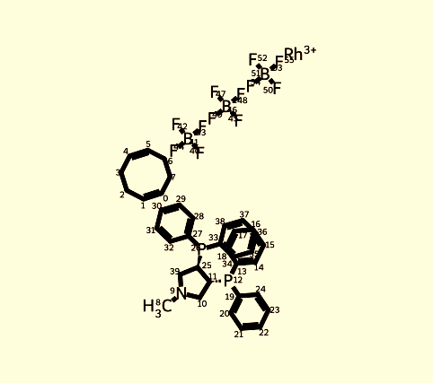 C1=C\CC/C=C\CC/1.CN1C[C@@H](P(c2ccccc2)c2ccccc2)[C@H](P(c2ccccc2)c2ccccc2)C1.F[B-](F)(F)F.F[B-](F)(F)F.F[B-](F)(F)F.[Rh+3]